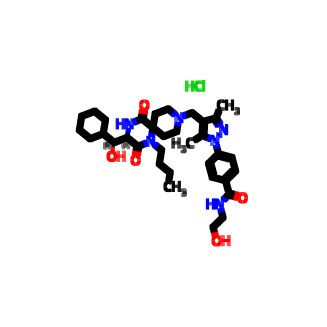 CCCCN1C(=O)[C@@H]([C@H](O)C2CCCCC2)NC(=O)C12CCN(Cc1c(C)nn(-c3ccc(C(=O)NCCO)cc3)c1C)CC2.Cl